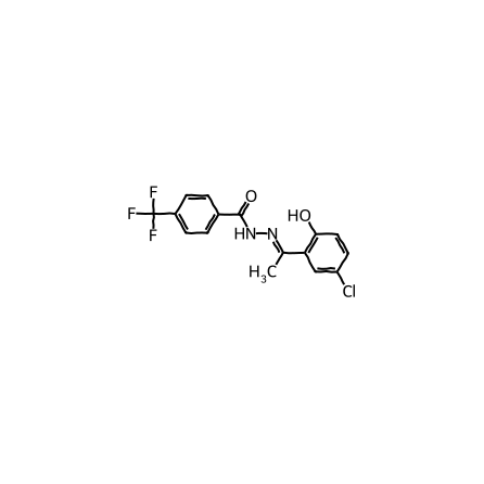 C/C(=N\NC(=O)c1ccc(C(F)(F)F)cc1)c1cc(Cl)ccc1O